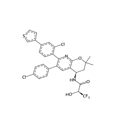 CC1(C)C[C@@H](NC(=O)[C@H](O)C(F)(F)F)c2cc(-c3ccc(Cl)cc3)c(-c3ccc(-c4ccsc4)cc3Cl)nc2O1